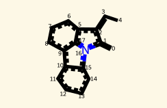 C=c1/c(=C\C)c2cccc3c4ccccc4n1c23